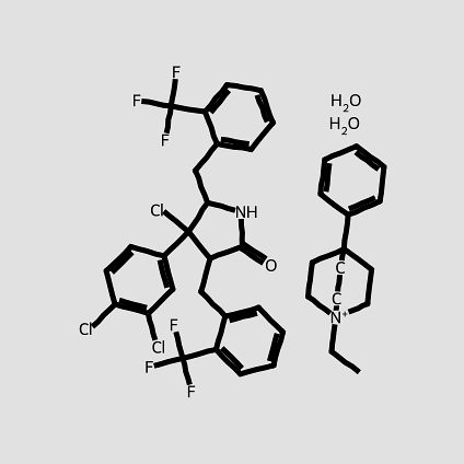 CC[N+]12CCC(c3ccccc3)(CC1)CC2.O.O.O=C1NC(Cc2ccccc2C(F)(F)F)C(Cl)(c2ccc(Cl)c(Cl)c2)C1Cc1ccccc1C(F)(F)F